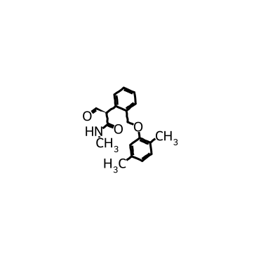 CNC(=O)[C@@H](C=O)c1ccccc1COc1cc(C)ccc1C